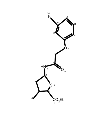 CCOC(=O)C1SC(NC(=O)COc2cccc(F)c2)CC1C